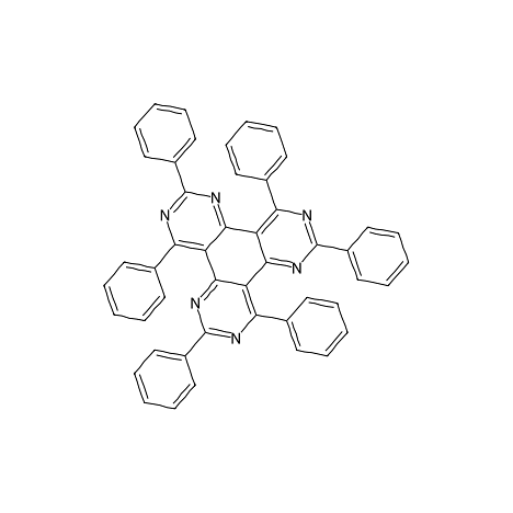 c1ccc(-c2nc(-c3ccccc3)c3c(n2)c2c(-c4ccccc4)nc(-c4ccccc4)nc2c2c(-c4ccccc4)nc(-c4ccccc4)nc32)cc1